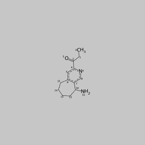 CCC(=O)c1cc2c(cn1)C(N)CCCC2